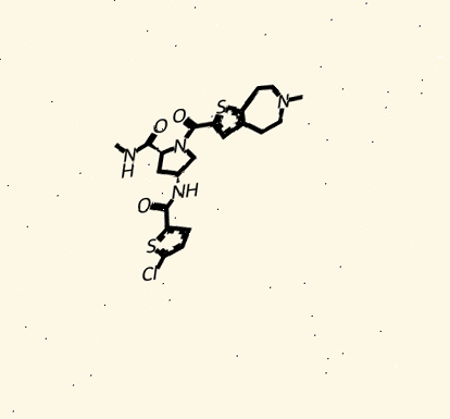 CNC(=O)[C@@H]1C[C@@H](NC(=O)c2ccc(Cl)s2)CN1C(=O)c1cc2c(s1)CCN(C)CC2